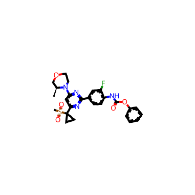 C[C@H]1COCCN1c1cc(C2(S(C)(=O)=O)CC2)nc(-c2ccc(NC(=O)Oc3ccccc3)c(F)c2)n1